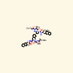 CNCC(=O)N[C@H](C(=O)N1C[C@@H](c2ccc3c(c2)CN(C(=O)C(NC(=O)[C@H](C)NC)C(C)(C)C)C(C(=O)N[C@@H](Cc2ccc4ccccc4c2)C(=O)OC)C3)C[C@H]1C(=O)N[C@@H](Cc1ccc2ccccc2c1)C(=O)OC)C(C)(C)C